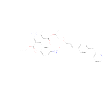 CCOC(=O)C1=C(C)NC(C)=C(C(=O)OC(C)COC/C=C/c2ccc(Cc3cccnc3)cc2)C1c1cccc([N+](=O)[O-])c1